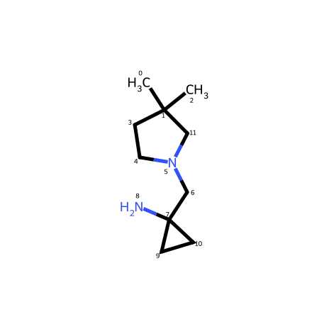 CC1(C)CCN(CC2(N)CC2)C1